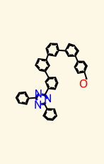 O=Cc1ccc(-c2cccc(-c3cccc(-c4cccc(-c5cccc(-c6nc(-c7ccccc7)nc(-c7ccccc7)n6)c5)c4)c3)c2)cc1